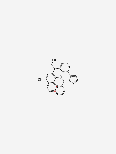 Cc1ccc(-c2cccc(C(CO)c3cc(Cl)c4cccnc4c3OCc3ccccc3)c2)s1